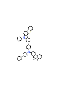 CC1C=C(N(c2ccc(-c3ccccc3)cc2)c2ccc(-c3ccc4c5c6sc7ccccc7c6ccc5n(-c5ccccc5)c4c3)cc2)C=CC1c1ccccc1